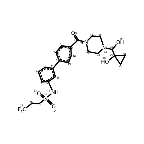 O=C(c1ccc(-c2cccc(NS(=O)(=O)CCC(F)(F)F)c2)cc1)N1CCN(C(O)C2(O)CC2)CC1